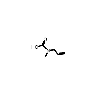 C=CCN(I)C(=O)O